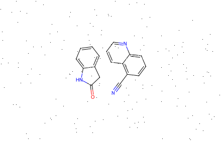 N#Cc1cccc2ncccc12.O=C1Cc2ccccc2N1